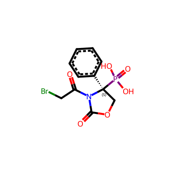 O=C(CBr)N1C(=O)OC[C@]1(c1ccccc1)P(=O)(O)O